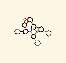 c1ccc2c(c1)oc1cccc(-c3cc4c5c(c3)N(c3ccc(C6CCCCC6)cc3)c3ccc(C6CCCCC6)cc3B5c3cc(C5CCCCC5)ccc3-4)c12